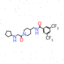 O=C(NCC1CCN(C(=O)CNC2CCCC2)CC1)c1cc(C(F)(F)F)cc(C(F)(F)F)c1